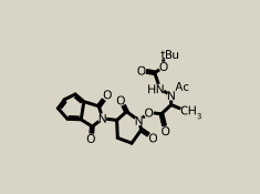 CC(=O)N(NC(=O)OC(C)(C)C)C(C)C(=O)ON1C(=O)CCC(N2C(=O)c3ccccc3C2=O)C1=O